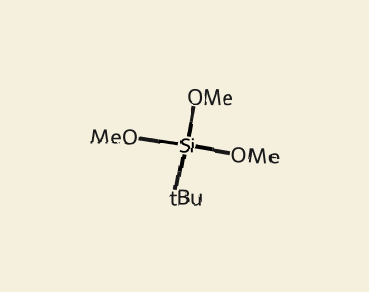 CO[Si](OC)(OC)C(C)(C)C